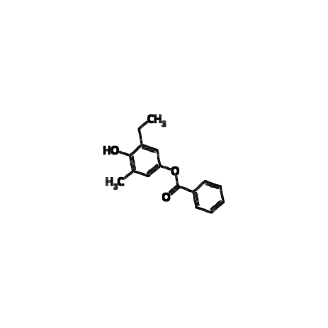 CCc1cc(OC(=O)c2ccccc2)cc(C)c1O